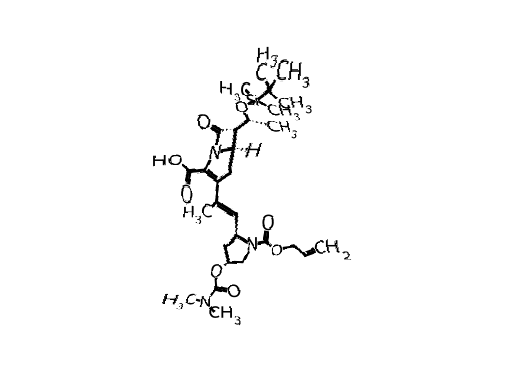 C=CCOC(=O)N1C[C@H](OC(=O)N(C)C)C[C@H]1C=C(C)C1=C(C(=O)O)N2C(=O)[C@H]([C@@H](C)O[Si](C)(C)C(C)(C)C)[C@H]2C1